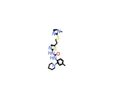 Cc1ccc(NC(=O)Nc2ncc(CCSc3nccn3C)s2)c(N2CCCCC2)c1